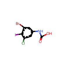 O=C(O)Nc1cc(Cl)c(I)c(Br)c1